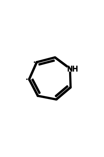 [C]1=CC=CNC=[C]1